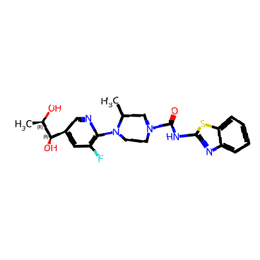 CC1CN(C(=O)Nc2nc3ccccc3s2)CCN1c1ncc([C@@H](O)[C@@H](C)O)cc1F